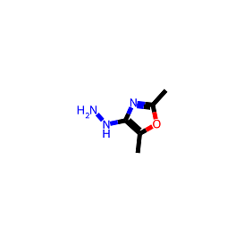 Cc1nc(NN)c(C)o1